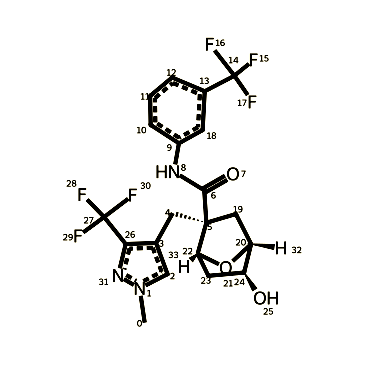 Cn1cc(C[C@]2(C(=O)Nc3cccc(C(F)(F)F)c3)C[C@H]3O[C@@H]2C[C@@H]3O)c(C(F)(F)F)n1